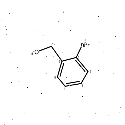 CCCc1ccccc1C[O]